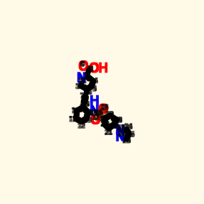 O=C(O)c1ccc(C#Cc2ccccc2NS(=O)(=O)c2ccc(-n3cccn3)cc2)cn1